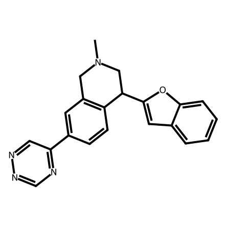 CN1Cc2cc(-c3cnncn3)ccc2C(c2cc3ccccc3o2)C1